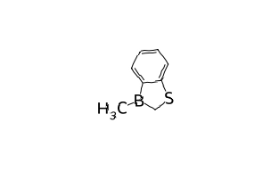 CB1CSc2ccccc21